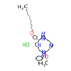 CCCCCCCCCCCCOc1ccc(-c2c3nc(cc4[nH]c(cc5nc(cc6ccc2[nH]6)C=C5)c(OCCC)c4-c2ccccc2)C=C3)cc1.Cl